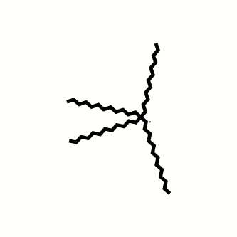 CCCCCCCCCCCC[CH]C(CCCCCCCCCCCC)(CCCCCCCCCCCC)CCCCCCCCCCCC